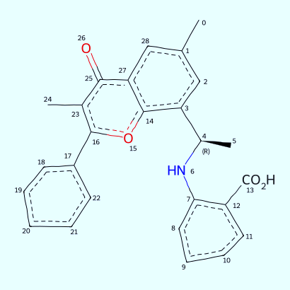 Cc1cc([C@@H](C)Nc2ccccc2C(=O)O)c2oc(-c3ccccc3)c(C)c(=O)c2c1